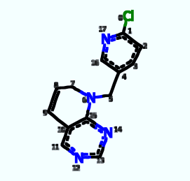 Clc1ccc(CN2CC=Cc3cncnc32)cn1